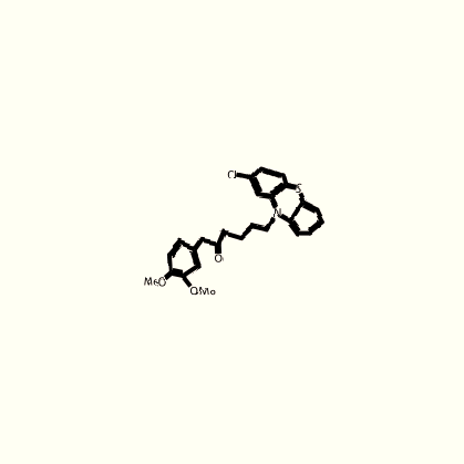 COc1ccc(CC(=O)[CH]CCCN2c3ccccc3Sc3ccc(Cl)cc32)cc1OC